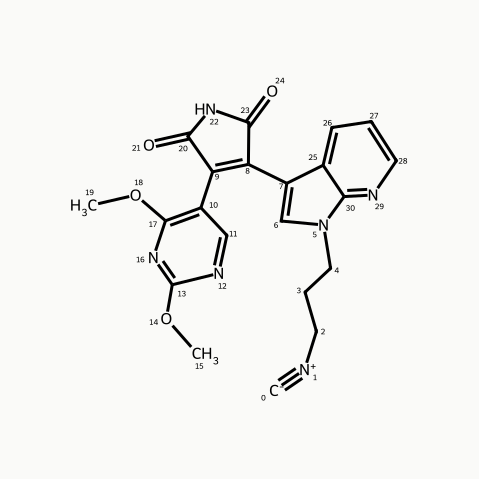 [C-]#[N+]CCCn1cc(C2=C(c3cnc(OC)nc3OC)C(=O)NC2=O)c2cccnc21